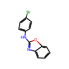 Brc1ccc(Nc2nc3ccccc3o2)cc1